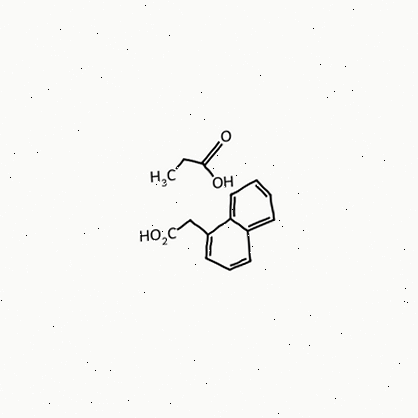 CCC(=O)O.O=C(O)Cc1cccc2ccccc12